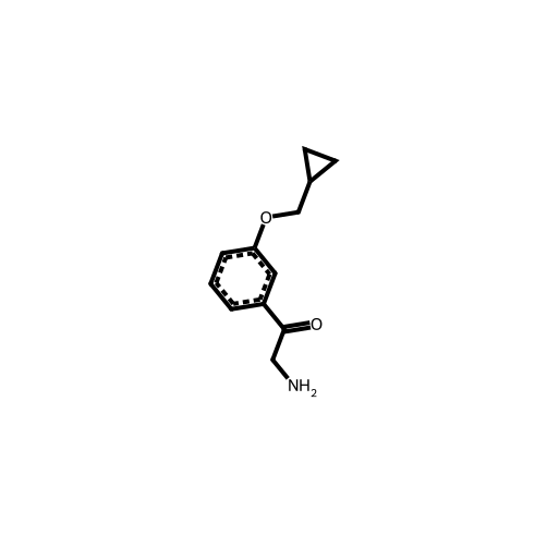 NCC(=O)c1cccc(OCC2CC2)c1